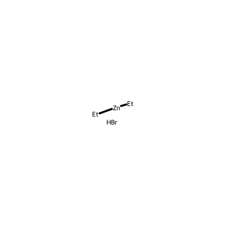 Br.C[CH2][Zn][CH2]C